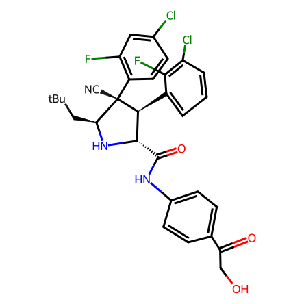 CC(C)(C)C[C@@H]1N[C@@H](C(=O)Nc2ccc(C(=O)CO)cc2)[C@H](c2cccc(Cl)c2F)[C@@]1(C#N)c1ccc(Cl)cc1F